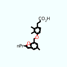 CCCc1cc2cc(C)cc(COc3ccc(CCC(=O)O)c(C)c3C)c2o1